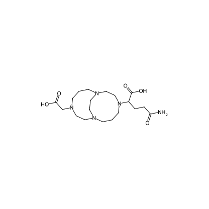 NC(=O)CCC(C(=O)O)N1CCCN2CCN(CCCN(CC(=O)O)CC2)CC1